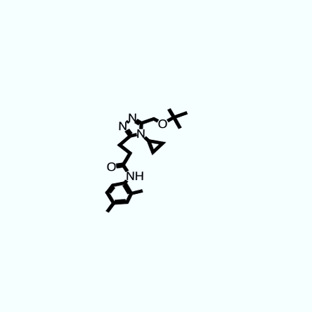 Cc1ccc(NC(=O)CCc2nnc(COC(C)(C)C)n2C2CC2)c(C)c1